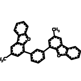 Cc1cc(-c2cccc(-c3cc(C)cc4c3oc3ccccc34)c2)c2oc3ccccc3c2c1